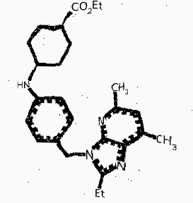 CCOC(=O)[C@H]1CC[C@@H](Nc2ccc(Cn3c(CC)nc4c(C)cc(C)nc43)cc2)CC1